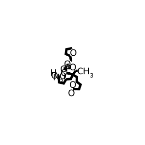 CC1OP(=O)(OCC2CCCO2)C(C)(C)C1(CC1CCC(=O)O1)CC1CCC(=O)O1